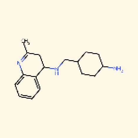 CC1=Nc2ccccc2C(NCC2CCC(N)CC2)C1